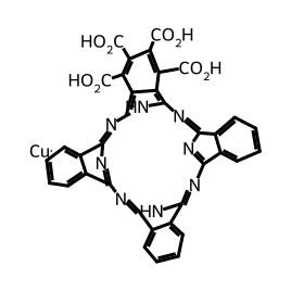 O=C(O)c1c(C(=O)O)c(C(=O)O)c2c3nc4nc(nc5[nH]c(nc6nc(nc([nH]3)c2c1C(=O)O)-c1ccccc1-6)c1ccccc51)-c1ccccc1-4.[Cu]